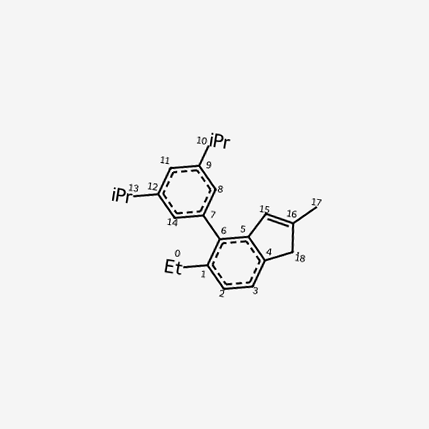 CCc1ccc2c(c1-c1cc(C(C)C)cc(C(C)C)c1)C=C(C)[CH]2